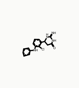 N=C1NC(=O)CC(c2cccc(Nc3ccccc3)c2Cl)N1